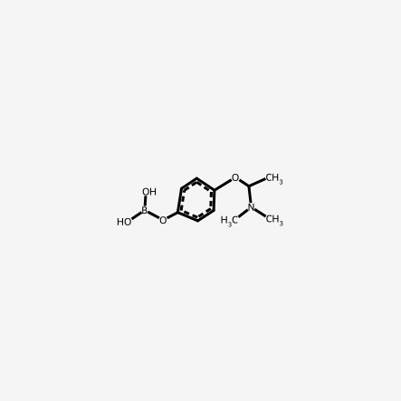 CC(Oc1ccc(OB(O)O)cc1)N(C)C